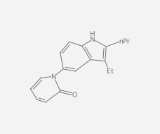 CCCc1[nH]c2ccc(-n3ccccc3=O)cc2c1CC